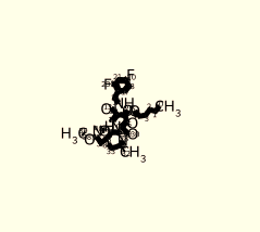 CCCCC(=O)Oc1c2n(cc(C(=O)NCc3ccc(F)cc3F)c1=O)[C@@H]1CN(C2=O)[C@@H](C)CC[C@]12CC(OC)=NO2